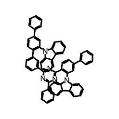 c1ccc(-c2ccc(-c3cccc(-c4nc(-c5ccccc5)nc(-c5ccc(-c6ccccc6)cc5-n5c6ccccc6c6ccccc65)n4)c3)c(-n3c4ccccc4c4ccccc43)c2)cc1